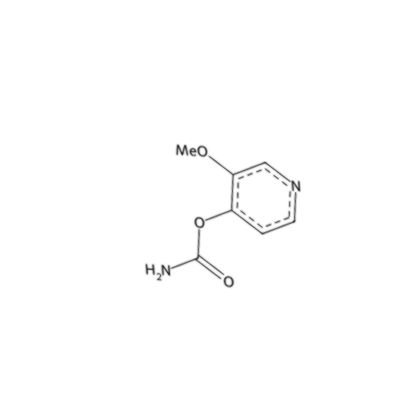 COc1cnccc1OC(N)=O